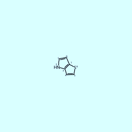 [c]1c[nH]c2ccsc12